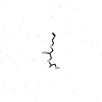 C=CCCOCC(O)COC(C)CO